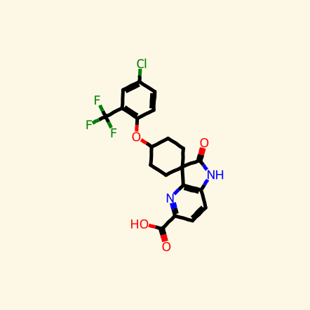 O=C(O)c1ccc2c(n1)C1(CCC(Oc3ccc(Cl)cc3C(F)(F)F)CC1)C(=O)N2